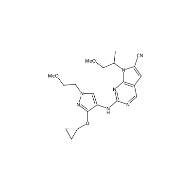 COCCn1cc(Nc2ncc3cc(C#N)n(C(C)COC)c3n2)c(OC2CC2)n1